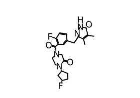 Cc1c(Cc2ccc(F)c(C(=O)N3CCN([C@@H]4CC[C@@H](F)C4)C(=O)C3)c2)n[nH]c(=O)c1C